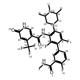 CNC(=O)c1cc(-c2c(F)cc(N3CC(C)N(C)C(C)C3)c(NC(=O)c3c[nH]c(=O)cc3C(F)(F)F)c2F)ccc1F